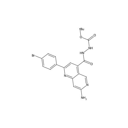 CC(C)(C)OC(=O)NNC(=O)c1cc(-c2ccc(Br)cc2)nc2cc(N)ncc12